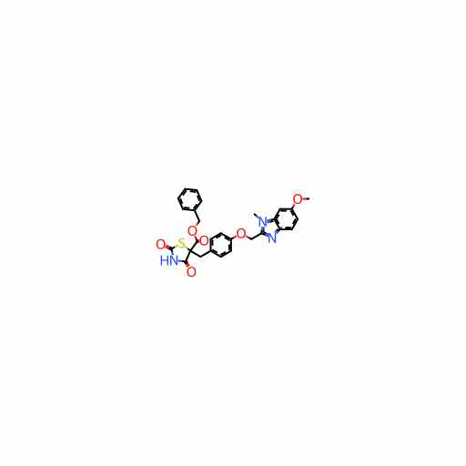 COc1ccc2nc(COc3ccc(CC4(C(=O)OCc5ccccc5)SC(=O)NC4=O)cc3)n(C)c2c1